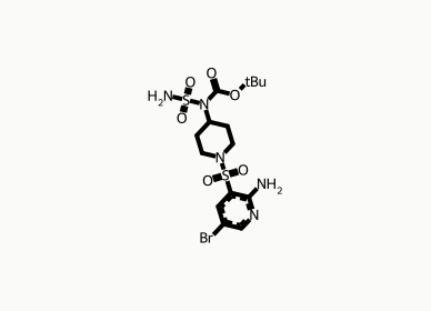 CC(C)(C)OC(=O)N(C1CCN(S(=O)(=O)c2cc(Br)cnc2N)CC1)S(N)(=O)=O